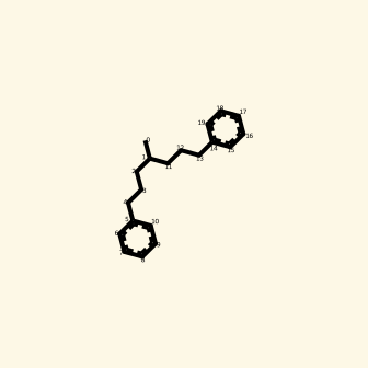 CC(CCCc1ccccc1)CCCc1ccccc1